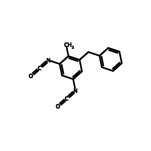 Cc1c(Cc2ccccc2)cc(N=C=O)cc1N=C=O